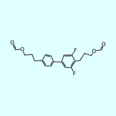 O=COCCCc1ccc(-c2cc(F)c(CCCOC=O)c(F)c2)cc1